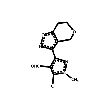 Cn1nc(-c2noc3c2COCC3)c(C=O)c1Cl